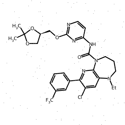 CCN1CCCN(C(=O)Nc2ccnc(OC[C@H]3COC(C)(C)O3)n2)c2nc(-c3cccc(C(F)(F)F)c3)c(Cl)cc21